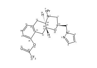 CCCN1C[C@@H](Cn2cccn2)O[C@@H]2Cc3c(cccc3OC(=O)C(F)(F)F)C[C@H]21